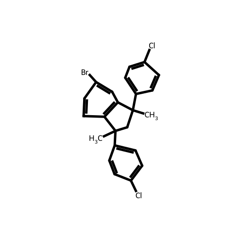 CC1(c2ccc(Cl)cc2)CC(C)(c2ccc(Cl)cc2)c2cc(Br)ccc21